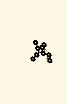 c1ccc(-c2ccc(N(c3ccc(-c4ccccc4)cc3)c3ccc(-c4cccc5c4oc4ccccc45)c4oc5c6ccccc6ccc5c34)cc2)cc1